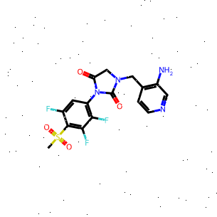 CS(=O)(=O)c1c(F)cc(N2C(=O)CN(Cc3ccncc3N)C2=O)c(F)c1F